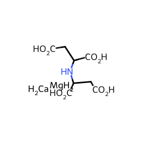 O=C(O)CC(NC(CC(=O)O)C(=O)O)C(=O)O.[CaH2].[MgH2]